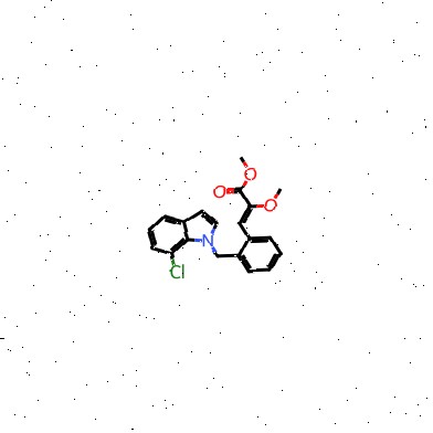 COC(=O)C(=Cc1ccccc1Cn1ccc2cccc(Cl)c21)OC